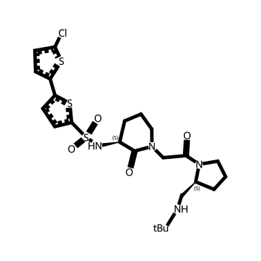 CC(C)(C)NC[C@@H]1CCCN1C(=O)CN1CCC[C@H](NS(=O)(=O)c2ccc(-c3ccc(Cl)s3)s2)C1=O